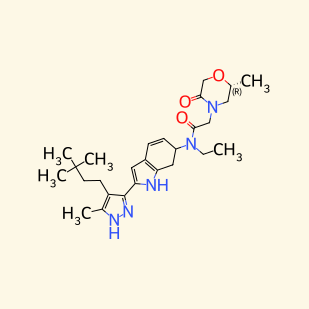 CCN(C(=O)CN1C[C@@H](C)OCC1=O)C1C=Cc2cc(-c3n[nH]c(C)c3CCC(C)(C)C)[nH]c2C1